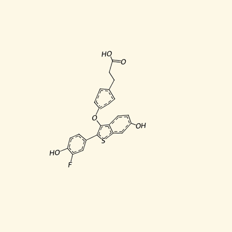 O=C(O)CCc1ccc(Oc2c(-c3ccc(O)c(F)c3)sc3cc(O)ccc23)cc1